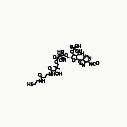 CC(C)(COP(=O)(O)OP(=O)(O)OC[C@H]1O[C@@H](n2cnc3c(N=C=O)ncnc32)[C@H](O)[C@@H]1OP(=O)(O)O)C(O)C(=O)NCCC(=O)NCCS